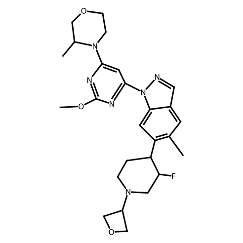 COc1nc(N2CCOCC2C)cc(-n2ncc3cc(C)c(C4CCN(C5COC5)CC4F)cc32)n1